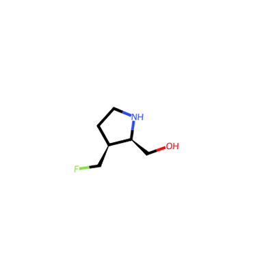 OC[C@@H]1NCC[C@@H]1CF